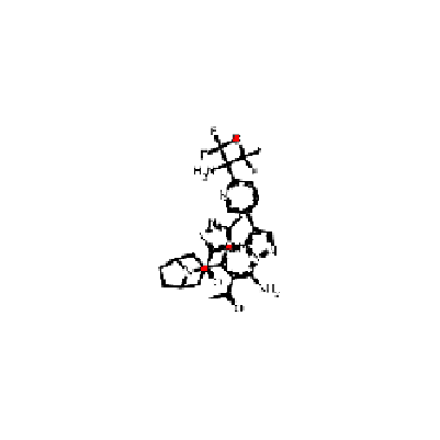 CC(=O)c1c(C2CC3CCC(C2)N3C(=O)c2nnc(C)[nH]2)nc2c(-c3ccc(C(N)(C(F)(F)F)C(F)(F)F)nc3)cnn2c1N